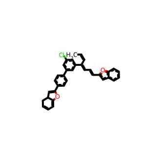 C\C=C/C(=C\C=C\c1cc2ccccc2o1)c1cc(Cl)cc(-c2ccc(C3=CC4CC=CC=C4O3)cc2)c1